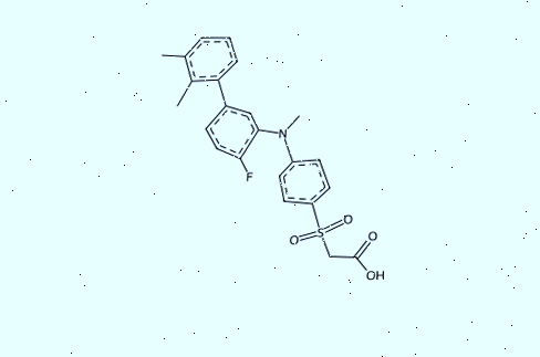 Cc1cccc(-c2ccc(F)c(N(C)c3ccc(S(=O)(=O)CC(=O)O)cc3)c2)c1C